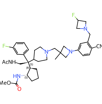 COC(=O)N[C@H]1CCC[C@@H]1[C@](CNC(C)=O)(c1cccc(F)c1)C1CCN(CC2(C)CN(c3ccc(C#N)c(CN4CC(F)C4)c3)C2)CC1